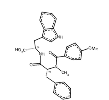 COc1ccc(C(=O)N(C)[C@H](Cc2ccccc2)C(=O)N[C@@H](Cc2c[nH]c3ccccc23)C(=O)O)cc1